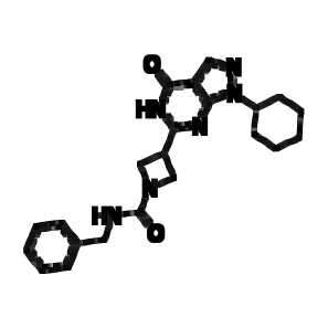 O=C(NCc1ccccc1)N1CC(c2nc3c(cnn3C3CCCCC3)c(=O)[nH]2)C1